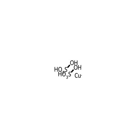 O=S(=O)(O)O.O=S(=O)(O)O.[Cu]